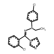 CCN(N=C(c1ccccc1Cl)n1ccnc1)c1ccc(Cl)cc1